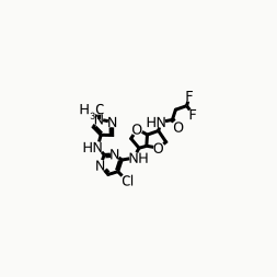 Cn1cc(Nc2ncc(Cl)c(NC3COC4C(NC(=O)CC(F)F)COC34)n2)cn1